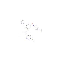 Cc1cnc(-c2cc(C(=O)N[C@H](C)c3cnc(C(F)(F)F)nc3)cc([S+]([O-])N3CCN(C)CC3)c2)s1